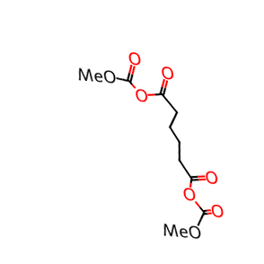 COC(=O)OC(=O)CCCCC(=O)OC(=O)OC